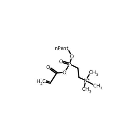 C=CC(=O)OP(=O)(CC[N+](C)(C)C)OCCCCC